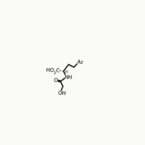 CC(=O)CC[C@H](NC(=O)CO)C(=O)O